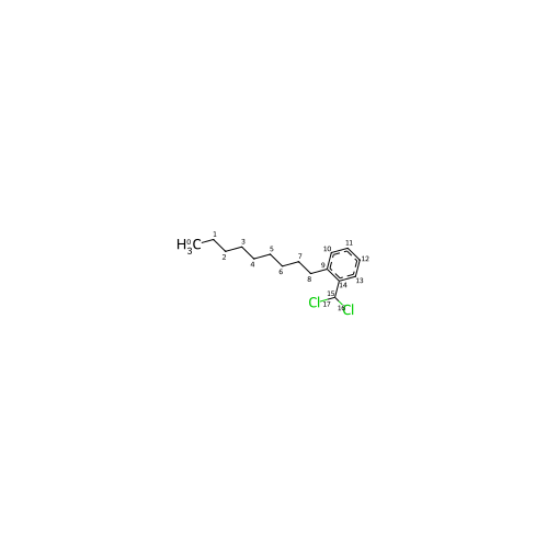 CCCCCCCCCc1ccccc1C(Cl)Cl